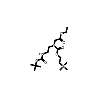 CCOC(=O)CN(CCNC(=O)OC(C)(C)C)C(=O)OCC[Si](C)(C)C